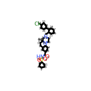 O=C(NS(=O)(=O)c1ccccc1)c1ccc2c(c1)CC[C@H]1CN(Cc3ccccc3-c3ccc(Cl)cc3)CCN21